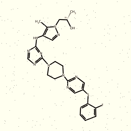 Cc1c(Nc2ncnc(N3CCN(c4ncc(Sc5ccccc5F)cn4)CC3)n2)cnn1C[C@H](C)O